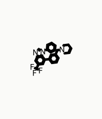 FC(F)(F)c1cc(-c2cccc(CN3CC=CCC3)c2)c2c(c1)ncn2-c1ccccc1